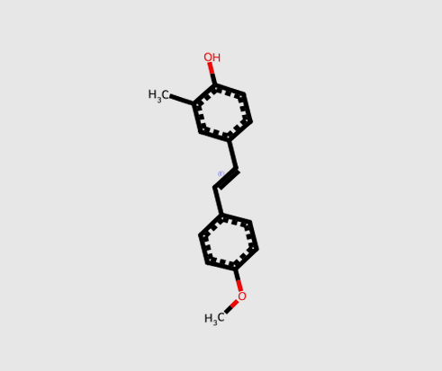 COc1ccc(/C=C/c2ccc(O)c(C)c2)cc1